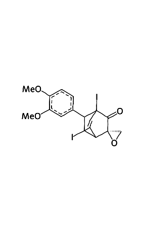 COc1ccc(C2CC3C(I)=CC2(I)C(=O)[C@]32CO2)cc1OC